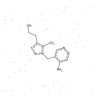 Cc1c(CCO)sc[n+]1Cc1cnccc1N